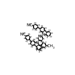 Cc1cc(-c2cc(-n3c4ccccc4c4ccc(-c5ccc(C#N)cc5)cc43)ncc2-n2c3ccccc3c3ccc(-c4ccc(C#N)cc4)cc32)cc(C(F)(F)F)c1